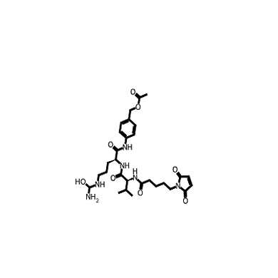 CC(=O)OCc1ccc(NC(=O)[C@H](CCCNC(N)O)NC(=O)[C@@H](NC(=O)CCCCN2C(=O)C=CC2=O)C(C)C)cc1